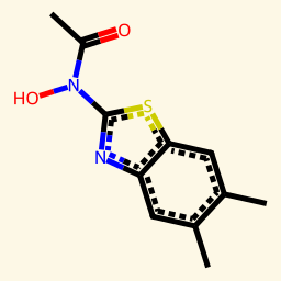 CC(=O)N(O)c1nc2cc(C)c(C)cc2s1